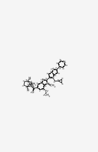 COc1cc(C(=O)N2C[C@H]3CC[C@@H]2[C@@H]3N)cc2nc(-c3cc4sc(-c5ccncc5)cc4n3CC3CC3)n(C)c12